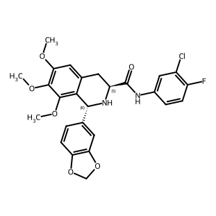 COc1cc2c(c(OC)c1OC)[C@@H](c1ccc3c(c1)OCO3)N[C@H](C(=O)Nc1ccc(F)c(Cl)c1)C2